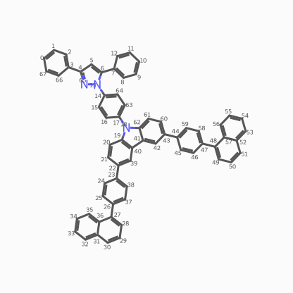 c1ccc(-c2cc(-c3ccccc3)n(-c3ccc(-n4c5ccc(-c6ccc(-c7cccc8ccccc78)cc6)cc5c5cc(-c6ccc(-c7cccc8ccccc78)cc6)ccc54)cc3)n2)cc1